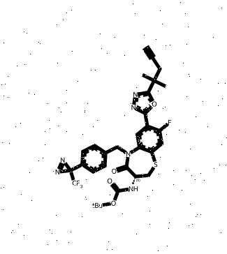 C#CCC(C)(C)c1nnc(-c2cc3c(cc2F)SC[C@H](NC(=O)OC(C)(C)C)C(=O)N3Cc2ccc(C3(C(F)(F)F)N=N3)cc2)o1